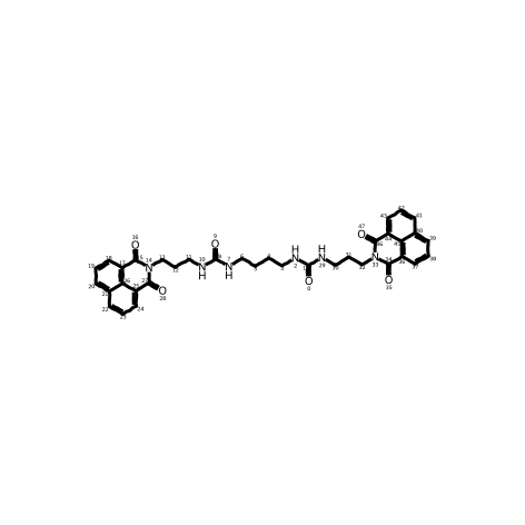 O=C(NCCCCNC(=O)NCCCN1C(=O)c2cccc3cccc(c23)C1=O)NCCCN1C(=O)c2cccc3cccc(c23)C1=O